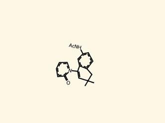 CC(=O)Nc1ccc2c(c1)C(n1ccccc1=O)=CC(C)(C)C2